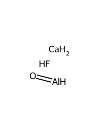 F.[CaH2].[O]=[AlH]